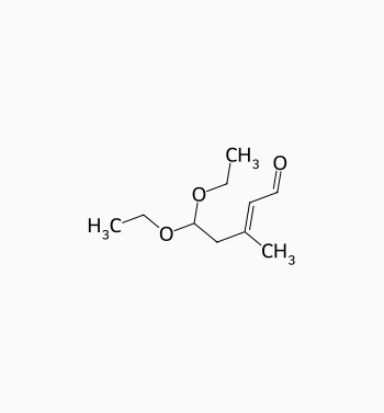 CCOC(CC(C)=CC=O)OCC